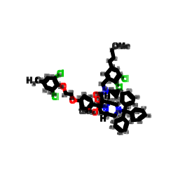 COCCCc1cc(Cl)c(Cl)c(CN(C(=O)C2=C(c3ccc(OCCOc4c(Cl)cc(C)cc4Cl)cc3)C[C@@H]3CN(C(c4ccccc4)(c4ccccc4)c4ccccc4)C[C@H]2N3C(=O)OC(C)(C)C)C2CC2)c1